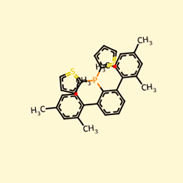 Cc1cc(C)c(-c2cccc(-c3c(C)cc(C)cc3C)c2P(c2cccs2)c2cccs2)c(C)c1